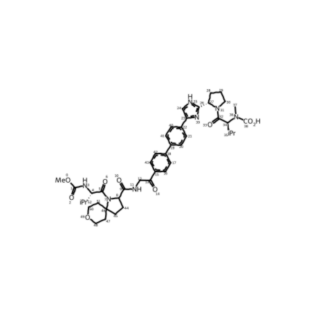 COC(=O)N[C@H](C(=O)N1C(C(=O)NCC(=O)c2ccc(-c3ccc(-c4c[nH]c([C@@H]5CCCN5C(=O)[C@H](C(C)C)N(C)C(=O)O)n4)cc3)cc2)CCC12CCOCC2)C(C)C